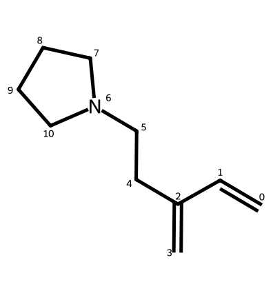 C=CC(=C)CCN1CCCC1